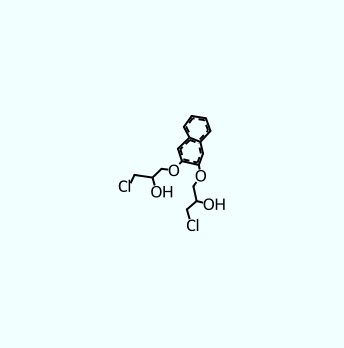 OC(CCl)COc1cc2ccccc2cc1OCC(O)CCl